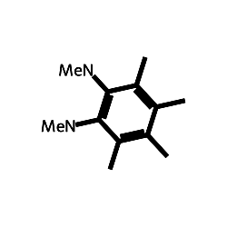 CNc1c(C)c(C)c(C)c(C)c1NC